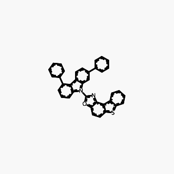 c1ccc(-c2ccc3c4c(-c5ccccc5)cccc4n(-c4nc5c(ccc6sc7ccccc7c65)o4)c3c2)cc1